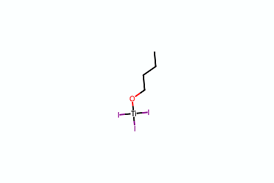 CCCC[O][Ti]([I])([I])[I]